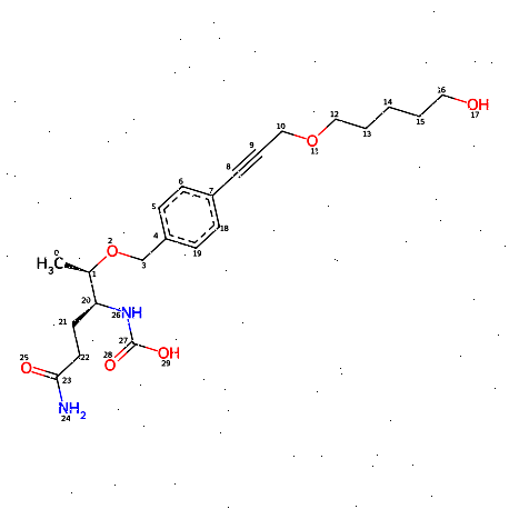 C[C@@H](OCc1ccc(C#CCOCCCCCO)cc1)[C@H](CCC(N)=O)NC(=O)O